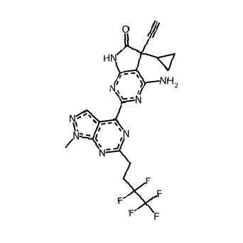 C#CC1(C2CC2)C(=O)Nc2nc(-c3nc(CCC(F)(F)C(F)(F)F)nc4c3cnn4C)nc(N)c21